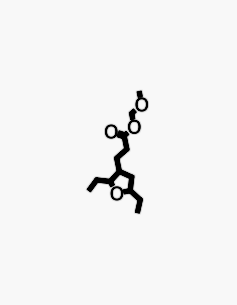 CCC1CC(CCC(=O)OCOC)C(CC)O1